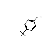 CCC(C)c1ccc(C(C)(C(F)(F)F)C(F)(F)F)cc1